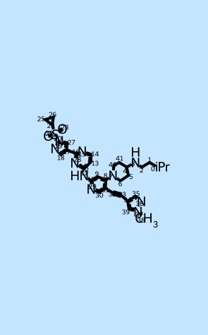 CC(C)CCNC1CCN(c2cc(Nc3ccnc(-c4cnn(S(=O)(=O)C5CC5)c4)n3)ncc2C#Cc2cnn(C)c2)CC1